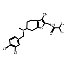 CCC(CC)C(=O)Nc1sc2c(c1C#N)CCC(N(C)Cc1ccc(Cl)c(Cl)c1)C2